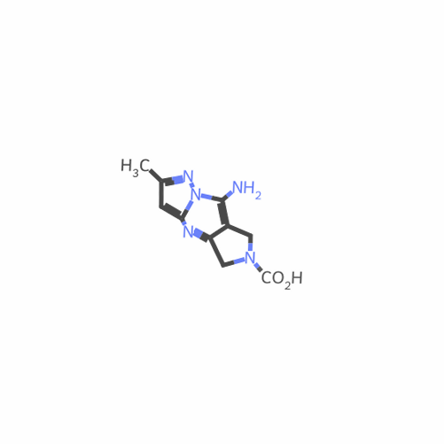 Cc1cc2nc3c(c(N)n2n1)CN(C(=O)O)C3